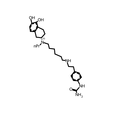 CCCN(CCCCCCNCCc1ccc(NC(N)=O)cc1)[C@H]1CCc2c(ccc(O)c2O)C1